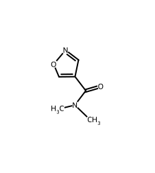 CN(C)C(=O)c1cnoc1